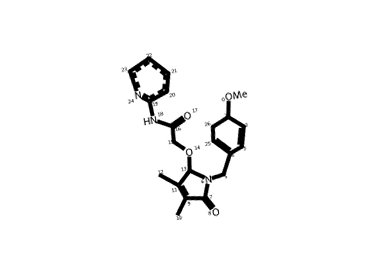 COC1C=CC(CN2C(=O)C(C)=C(C)C2OCC(=O)Nc2ccccn2)=CC1